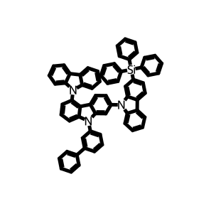 c1ccc(-c2cccc(-n3c4cc(-n5c6ccccc6c6ccc([Si](c7ccccc7)(c7ccccc7)c7ccccc7)cc65)ccc4c4c(-n5c6ccccc6c6ccccc65)cccc43)c2)cc1